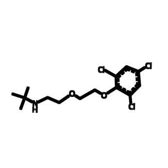 CC(C)(C)NCCOCCOc1c(Cl)cc(Cl)cc1Cl